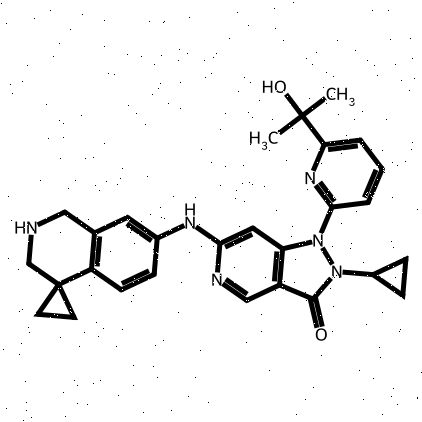 CC(C)(O)c1cccc(-n2c3cc(Nc4ccc5c(c4)CNCC54CC4)ncc3c(=O)n2C2CC2)n1